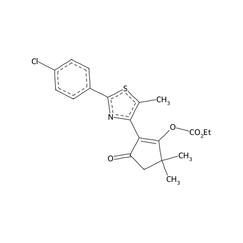 CCOC(=O)OC1=C(c2nc(-c3ccc(Cl)cc3)sc2C)C(=O)CC1(C)C